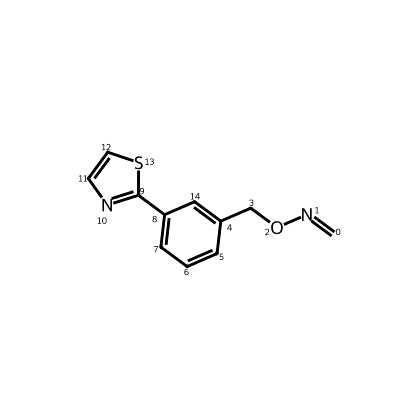 C=NOCc1cccc(-c2nccs2)c1